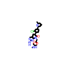 CNc1ncc2cc(-c3ccc(-c4cccc(C)n4)cc3Cl)c(=O)n(CC3OCC(NC)CO3)c2n1